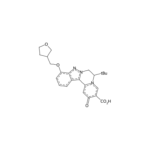 CC(C)(C)C1Cn2nc3c(OCC4CCOC4)cccc3c2-c2cc(=O)c(C(=O)O)cn21